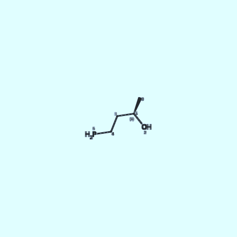 C[C@@H](O)CCP